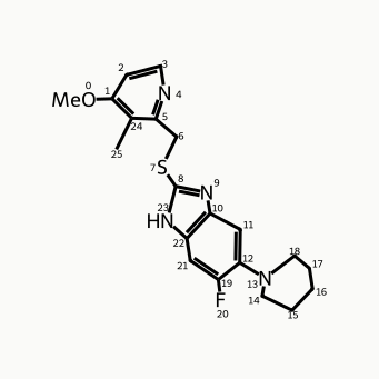 COc1ccnc(CSc2nc3cc(N4CCCCC4)c(F)cc3[nH]2)c1C